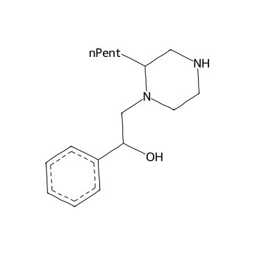 CCCCCC1CNCCN1CC(O)c1ccccc1